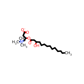 CCCCCCCCCCCC(O)CC(=O)OC(CC(=O)[O-])C[N+](C)(C)C